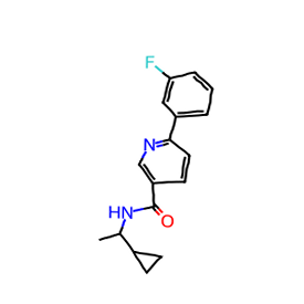 CC(NC(=O)c1ccc(-c2cccc(F)c2)nc1)C1CC1